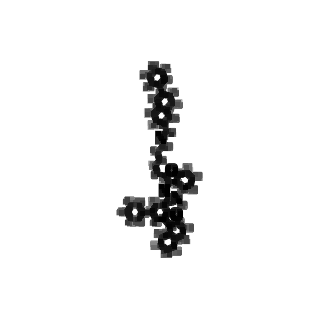 C=N/C(=N\c1c(\C=C/C=C/C=N/Cc2ccc3cc(-c4ccccc4)ccc3c2)oc2ccccc12)c1cc(-c2ccccc2)cc2c1oc1ccc3ccccc3c12